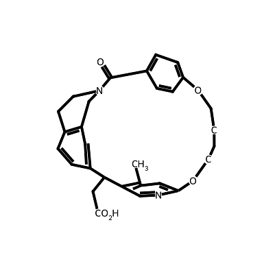 Cc1cc2ncc1C(CC(=O)O)c1ccc3c(c1)CN(CC3)C(=O)c1ccc(cc1)OCCCCO2